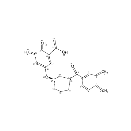 C=C/C=C\C(=C/C=C)C(=O)N1CCC[C@@H](OC(/C=C(\C=C)C(=O)O)=N/C=C)C1